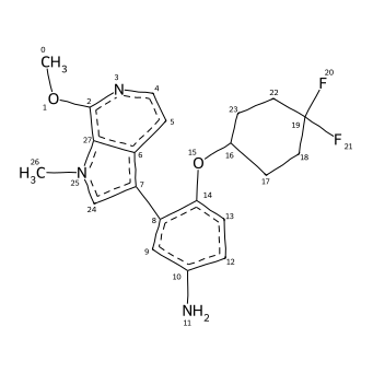 COc1nccc2c(-c3cc(N)ccc3OC3CCC(F)(F)CC3)cn(C)c12